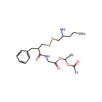 CCC(=O)OC(OC(=O)CNC(=O)C(CSSCC([NH])CCSC)Cc1ccccc1)C(C)C